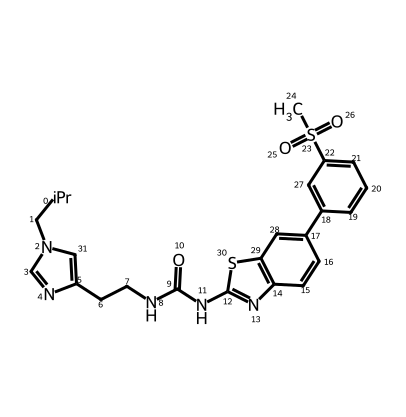 CC(C)Cn1cnc(CCNC(=O)Nc2nc3ccc(-c4cccc(S(C)(=O)=O)c4)cc3s2)c1